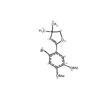 COc1cc(Br)c(C2=NC(C)(C)CO2)cc1OC